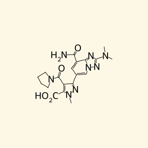 CN(C)c1nc2c(C(N)=O)cc(-c3nn(C)c(C(=O)O)c3C(=O)N3CCCC3)cn2n1